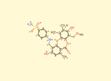 CCOCc1c(O)c(C(=O)O)c(C)c2c1OC(=O)c1c(C)cc(O)c(CNc3ccc(S(N)(=O)=O)cc3)c1O2